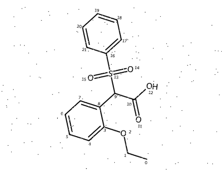 CCOc1ccccc1C(C(=O)O)S(=O)(=O)c1ccccc1